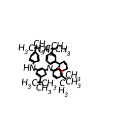 CC(C)(C)C1=CC(Nc2ccc(C(C)(C)C)cc2)=CC(N(c2ccc(C(C)(C)C)cc2)c2ccc(C(C)(C)C)cc2C2C=CCCC2)C1